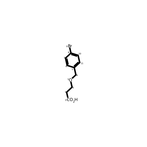 O=C(O)CCOCc1ccc(Br)cc1